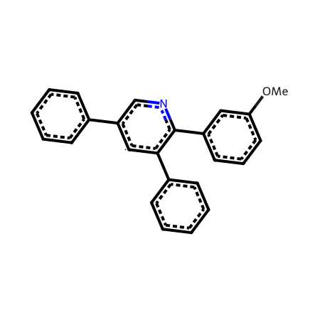 COc1cccc(-c2ncc(-c3ccccc3)[c]c2-c2ccccc2)c1